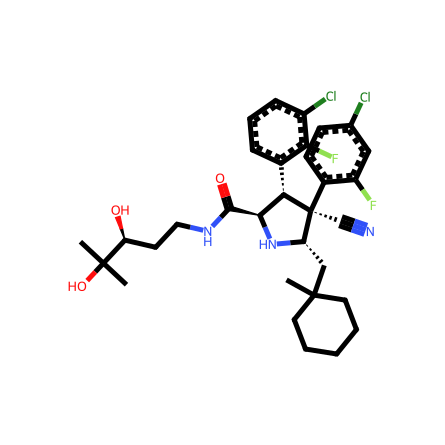 CC1(C[C@@H]2N[C@@H](C(=O)NCC[C@H](O)C(C)(C)O)[C@H](c3cccc(Cl)c3F)[C@@]2(C#N)c2ccc(Cl)cc2F)CCCCC1